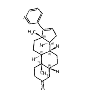 C[C@]12CCC(=O)C[C@H]1CC[C@@H]1[C@@H]2CC[C@]2(C)C(c3cccnc3)=CC[C@@H]12